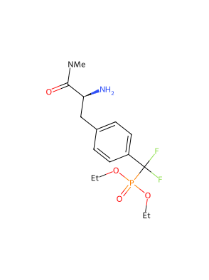 CCOP(=O)(OCC)C(F)(F)c1ccc(C[C@H](N)C(=O)NC)cc1